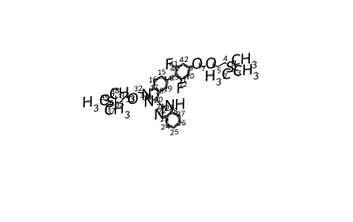 C[Si](C)(C)CCOCOc1cc(F)c(-c2ccc3c(c2)c(-c2nc4ccccc4[nH]2)nn3COCC[Si](C)(C)C)c(F)c1